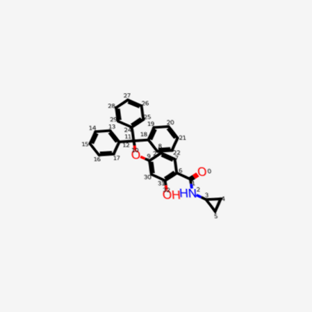 O=C(NC1CC1)c1ccc(OC(c2ccccc2)(c2ccccc2)c2ccccc2)cc1O